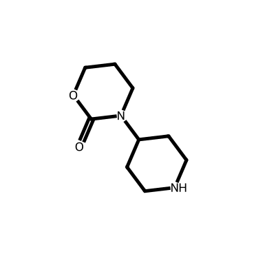 O=C1OCCCN1C1CCNCC1